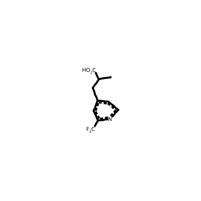 CC(Cc1ccnc(C(F)(F)F)c1)C(=O)O